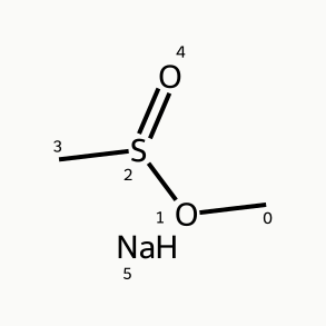 COS(C)=O.[NaH]